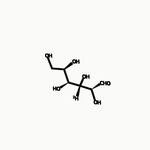 [2H][C@](O)([C@H](O)[C@H](O)CO)[C@@H](O)C=O